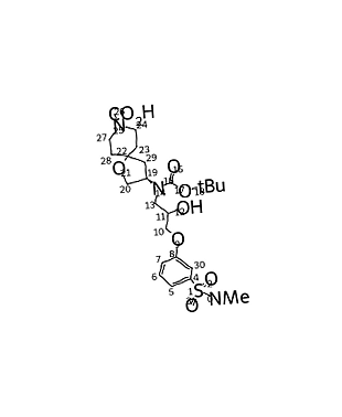 CNS(=O)(=O)c1cccc(OCC(O)CN(C(=O)OC(C)(C)C)[C@H]2COC3(CCN(C(=O)O)CC3)C2)c1